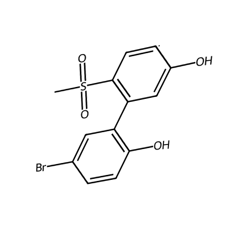 CS(=O)(=O)c1c[c]c(O)cc1-c1cc(Br)ccc1O